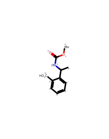 CC(NC(=O)OC(C)(C)C)c1ccccc1C(=O)O